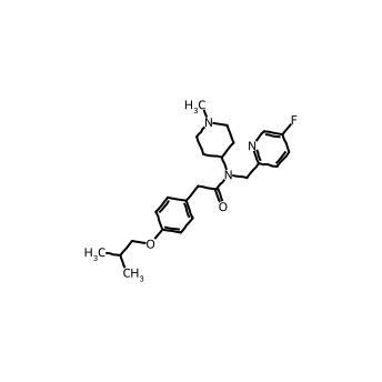 CC(C)COc1ccc(CC(=O)N(Cc2ccc(F)cn2)C2CCN(C)CC2)cc1